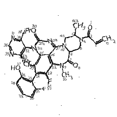 C=CC(=O)N1CC2C(=O)N(C)c3c(F)c(-c4c(O)cccc4F)c(Cl)c4c3c(nc(=O)n4-c3c(C(C)C)ncnc3C(C)C)N2CC1C